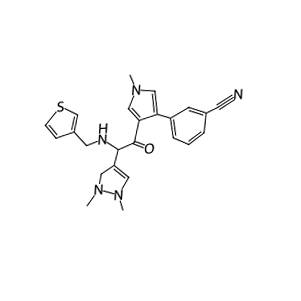 CN1C=C(C(NCc2ccsc2)C(=O)c2cn(C)cc2-c2cccc(C#N)c2)CN1C